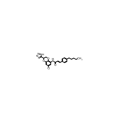 CCCCCc1ccc(C=CC(=O)Nc2cc(Cl)cc3c2OCC(c2nnn[nH]2)O3)cc1